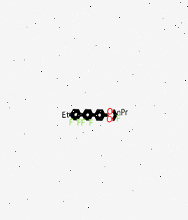 CCCC1(F)COC(c2ccc(-c3ccc(-c4ccc(CC)c(F)c4F)c(F)c3F)cc2)OC1